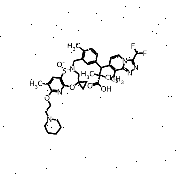 Cc1ccc(C(c2ccn3c(C(F)F)nnc3c2C)C(C)(C)C(=O)O)cc1CN1CC2(CC2)Oc2nc(OCCN3CCCCC3)c(C)cc2[S+]1[O-]